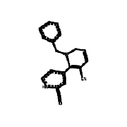 N#CC1=C(c2cc[nH]c(=O)c2)N(Cc2ccccc2)CC=C1